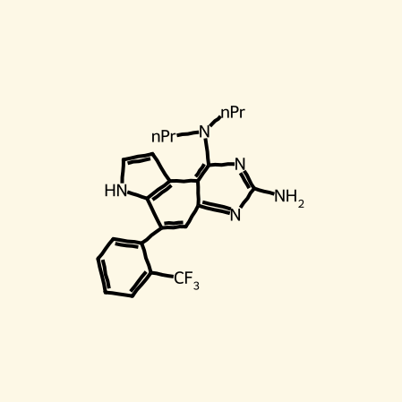 CCCN(CCC)c1nc(N)nc2cc(-c3ccccc3C(F)(F)F)c3[nH]ccc3c12